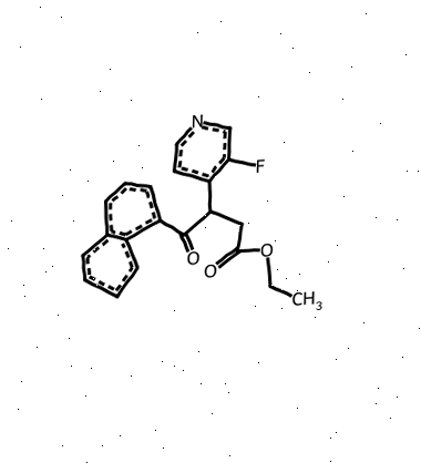 CCOC(=O)CC(C(=O)c1cccc2ccccc12)c1ccncc1F